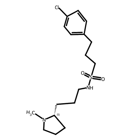 CN1CCC[C@H]1CCCNS(=O)(=O)CCCc1ccc(Cl)cc1